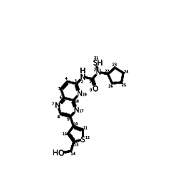 O=C(Nc1ccc2ncc(-c3csc(CO)c3)nc2n1)N(S)C1CCCC1